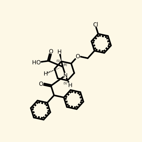 O=C(O)[C@H]1[C@@H]2CC[C@@H](CC2OCc2cccc(Cl)c2)N1C(=O)C(c1ccccc1)c1ccccc1